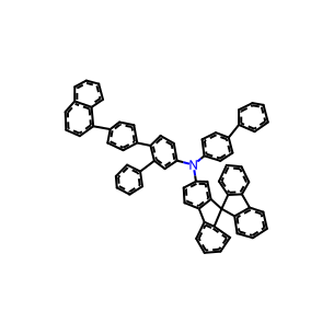 c1ccc(-c2ccc(N(c3ccc(-c4ccc(-c5cccc6ccccc56)cc4)c(-c4ccccc4)c3)c3ccc4c(c3)C3(c5ccccc5-c5ccccc53)c3ccccc3-4)cc2)cc1